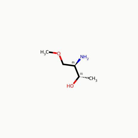 COC[C@@H](N)[C@H](C)O